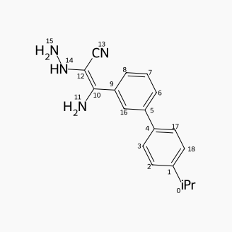 CC(C)c1ccc(-c2cccc(/C(N)=C(\C#N)NN)c2)cc1